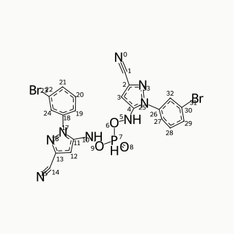 N#Cc1cc(NO[PH](=O)ONc2cc(C#N)nn2-c2cccc(Br)c2)n(-c2cccc(Br)c2)n1